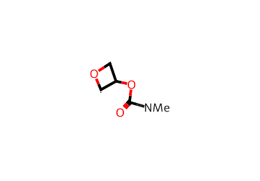 CNC(=O)OC1[CH]OC1